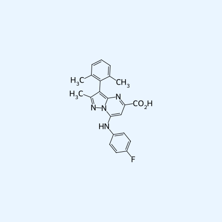 Cc1cccc(C)c1-c1c(C)nn2c(Nc3ccc(F)cc3)cc(C(=O)O)nc12